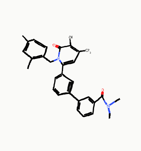 Cc1ccc(Cn2c(-c3cccc(-c4cccc(C(=O)N(C)C)c4)c3)cc(C(F)(F)F)c(C#N)c2=O)c(C)c1